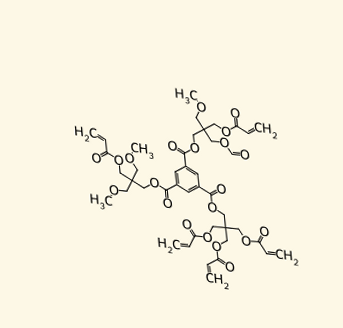 C=CC(=O)OCC(COC)(COC)COC(=O)c1cc(C(=O)OCC(COC)(COC=O)COC(=O)C=C)cc(C(=O)OCC(COC(=O)C=C)(COC(=O)C=C)COC(=O)C=C)c1